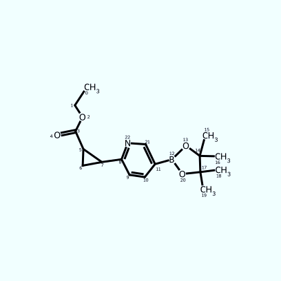 CCOC(=O)C1CC1c1ccc(B2OC(C)(C)C(C)(C)O2)cn1